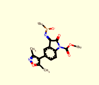 Cc1noc(C)c1-c1ccc2c(c1)C(=N[S+]([O-])C(C)(C)C)C(=O)N2C(=O)OC(C)(C)C